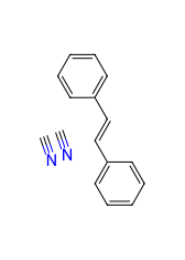 C#N.C#N.C(=Cc1ccccc1)c1ccccc1